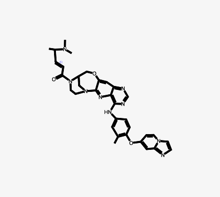 Cc1cc(Nc2ncnc3cc4c(nc23)N2CCN(C(=O)/C=C/C(C)N(C)C)C(CO4)C2)ccc1Oc1ccn2ccnc2c1